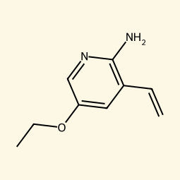 C=Cc1cc(OCC)cnc1N